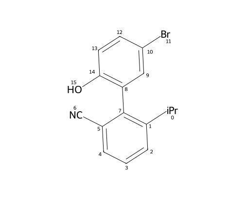 CC(C)c1cccc(C#N)c1-c1cc(Br)ccc1O